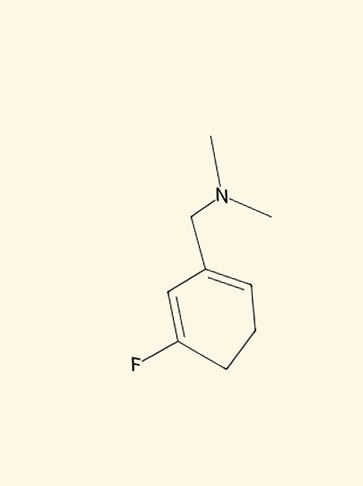 CN(C)CC1=CCCC(F)=C1